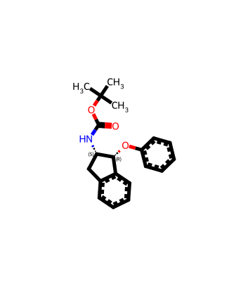 CC(C)(C)OC(=O)N[C@H]1Cc2ccccc2[C@H]1Oc1ccccc1